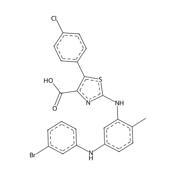 Cc1ccc(Nc2cccc(Br)c2)cc1Nc1nc(C(=O)O)c(-c2ccc(Cl)cc2)s1